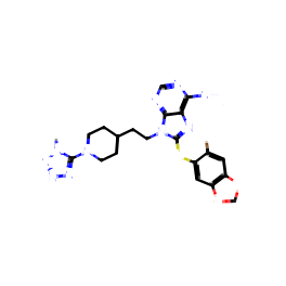 Cn1nnnc1N1CCC(CCn2c(Sc3cc4c(cc3Br)OCO4)nc3c(N)ncnc32)CC1